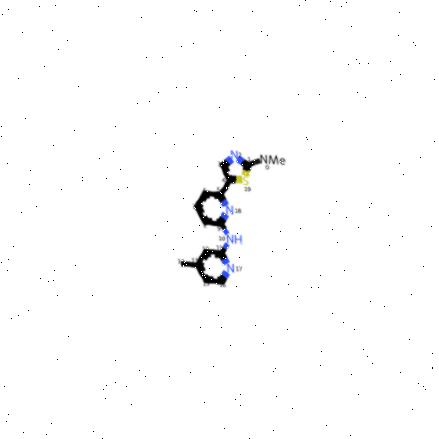 CNc1ncc(-c2cccc(Nc3cc(C)ccn3)n2)s1